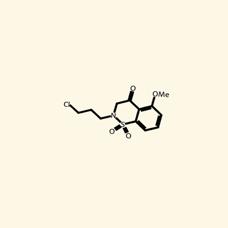 COc1cccc2c1C(=O)CN(CCCCl)S2(=O)=O